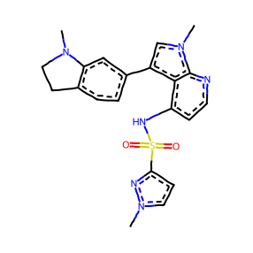 CN1CCc2ccc(-c3cn(C)c4nccc(NS(=O)(=O)c5ccn(C)n5)c34)cc21